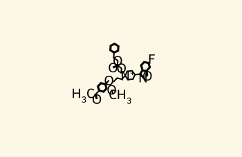 COc1cc(C(C)=O)ccc1OCCC[N+]1(COC(=O)OCc2ccccc2)CCC(c2noc3cc(F)ccc23)CC1